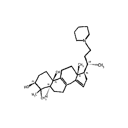 C[C@@H](CCN1CCCCC1)[C@H]1CC=C2C3=C(CC[C@@]21C)[C@@]1(C)CC[C@H](O)C(C)(C)[C@@H]1CC3